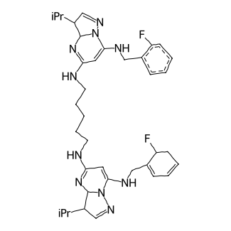 CC(C)C1C=NN2C(NCC3=CC=CCC3F)=CC(NCCCCCNC3=NC4C(C(C)C)C=NN4C(NCc4ccccc4F)=C3)=NC12